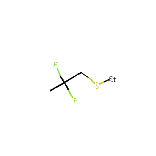 [CH2]CSCC(C)(F)F